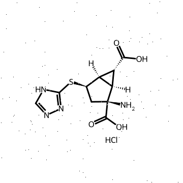 Cl.N[C@@]1(C(=O)O)C[C@@H](Sc2nnc[nH]2)[C@H]2[C@H](C(=O)O)[C@H]21